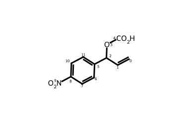 C=CC(OC(=O)O)c1ccc([N+](=O)[O-])cc1